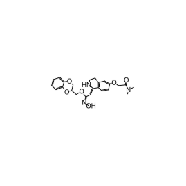 CN(C)C(=O)COc1ccc2c(c1)CCN/C2=C\C(=N/O)OCC1COc2ccccc2O1